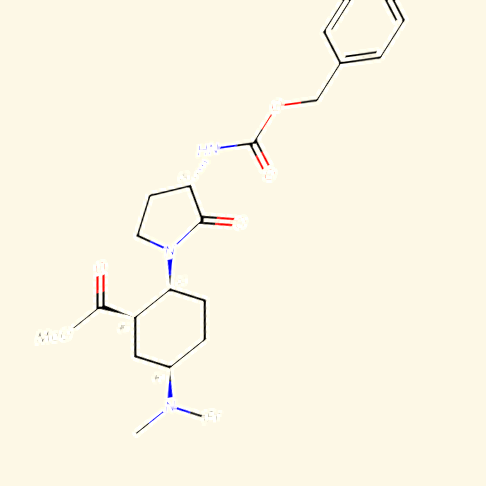 COC(=O)[C@@H]1C[C@H](N(C)C(C)C)CC[C@@H]1N1CC[C@H](NC(=O)OCc2ccccc2)C1=O